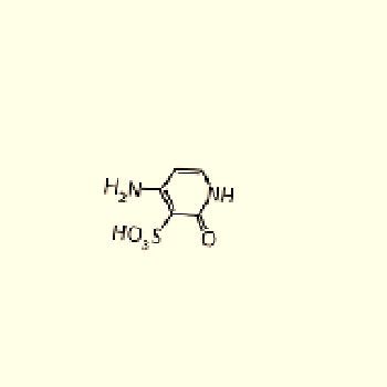 Nc1cc[nH]c(=O)c1S(=O)(=O)O